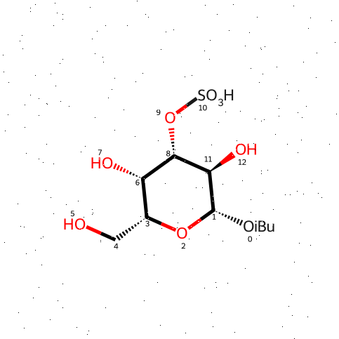 CC(C)CO[C@@H]1O[C@H](CO)[C@H](O)[C@H](OS(=O)(=O)O)[C@H]1O